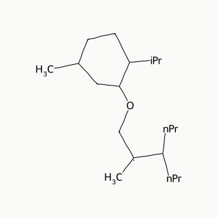 CCCC(CCC)[C](C)COC1CC(C)CCC1C(C)C